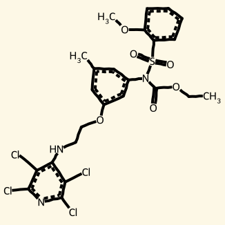 CCOC(=O)N(c1cc(C)cc(OCCNc2c(Cl)c(Cl)nc(Cl)c2Cl)c1)S(=O)(=O)c1ccccc1OC